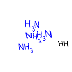 N.N.N.N.[HH]